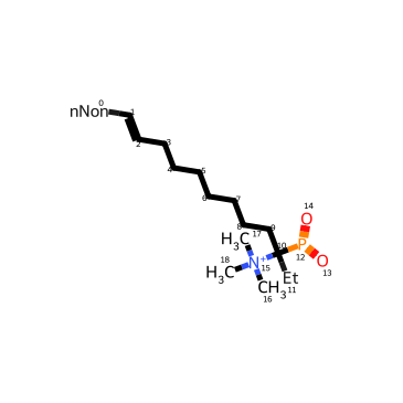 CCCCCCCCCC=CCCCCCCCC(CC)(P(=O)=O)[N+](C)(C)C